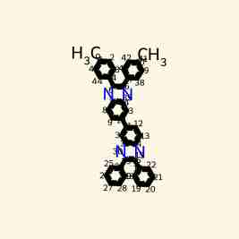 Cc1ccc(-c2nc3ccc(-c4ccc5nc(-c6ccccc6)c(-c6ccccc6)nc5c4)cc3nc2-c2ccc(C)cc2)cc1